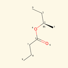 C[CH][C@@H](C)OC(=O)CCC